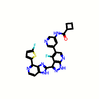 O=C(Nc1cncc(-c2cnc3[nH]nc(-c4nc5c(-c6ccc(F)s6)nccc5[nH]4)c3c2F)c1)C1CCC1